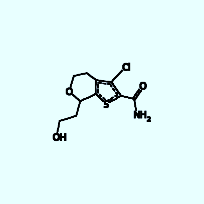 NC(=O)c1sc2c(c1Cl)CCOC2CCO